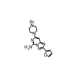 CC(=O)N1CCN(c2cc3nc(-c4ccco4)nn3c(N)n2)CC1